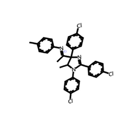 C/C(=N\c1ccc(C)cc1)C1(c2ccc(Cl)cc2)N=C(c2ccc(Cl)cc2)N(c2ccc(Cl)cc2)C1C